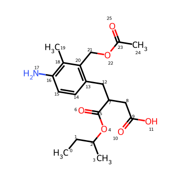 CCC(C)OC(=O)C(CC(=O)O)Cc1ccc(N)c(C)c1COC(C)=O